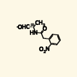 C[C@@H]([C]=O)NC(=O)Cc1ccccc1[N+](=O)[O-]